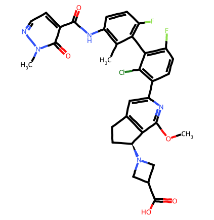 COc1nc(-c2ccc(F)c(-c3c(F)ccc(NC(=O)c4ccnn(C)c4=O)c3C)c2Cl)cc2c1[C@@H](N1CC(C(=O)O)C1)CC2